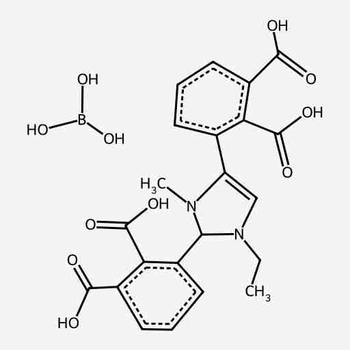 CCN1C=C(c2cccc(C(=O)O)c2C(=O)O)N(C)C1c1cccc(C(=O)O)c1C(=O)O.OB(O)O